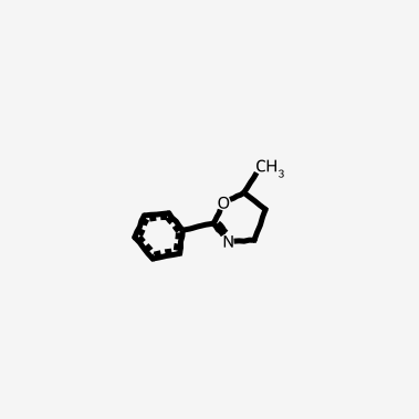 CC1CCN=C(c2ccccc2)O1